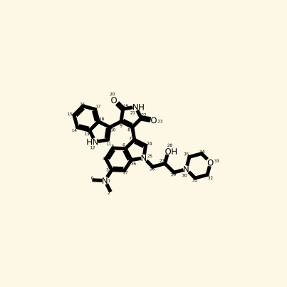 CN(C)c1ccc2c(C3=C(c4c[nH]c5ccccc45)C(=O)NC3=O)cn(CC(O)CN3CCOCC3)c2c1